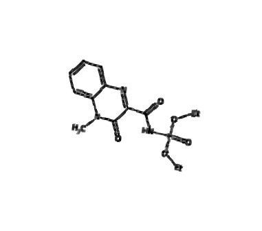 CCOP(=O)(NC(=O)c1nc2ccccc2n(C)c1=O)OCC